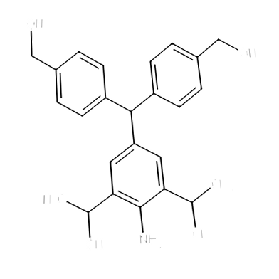 CC(C)c1cc(C(c2ccc(CO)cc2)c2ccc(CO)cc2)cc(C(C)C)c1N